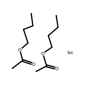 CCCCOC(C)=O.CCCCOC(C)=O.[Sn]